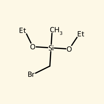 CCO[Si](C)(CBr)OCC